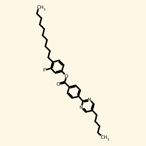 CCCCCCCCCCc1ccc(OC(=O)c2ccc(-c3ncc(CCCCC)cn3)cc2)cc1F